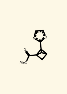 COC(=O)C12CC(C1)C2c1ncco1